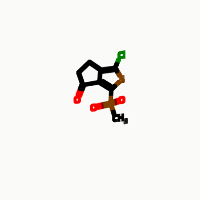 CS(=O)(=O)c1sc(Cl)c2c1C(=O)CC2